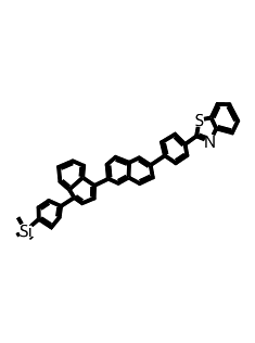 C[Si](C)(C)c1ccc(-c2ccc(-c3ccc4cc(-c5ccc(-c6nc7ccccc7s6)cc5)ccc4c3)c3ccccc23)cc1